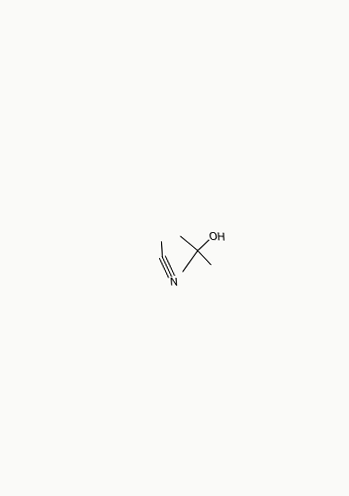 CC#N.CC(C)(C)O